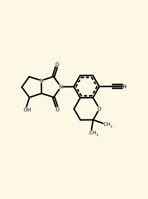 CC1(C)CCc2c(N3C(=O)C4C(O)CCN4C3=O)ccc(C#N)c2O1